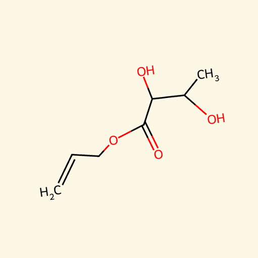 C=CCOC(=O)C(O)C(C)O